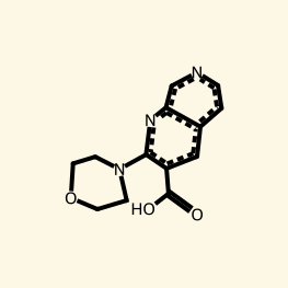 O=C(O)c1cc2ccncc2nc1N1CCOCC1